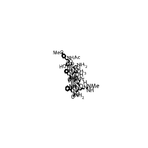 CNC(=N)NCCC[C@H](NC(=O)[C@H](CC(C)C)NC(=O)NNC(=O)[C@H](Cc1ccccc1)NC(=O)[C@@H](NC(=O)[C@H](CC(N)=O)NC(=O)[C@@H]1C[C@@H](O)CN1C(=O)[C@H](Cc1ccc(OC)cc1)NC(C)=O)[C@@H](C)O)C(=O)N[C@@H](Cc1c[nH]c2ccccc12)C(N)=O